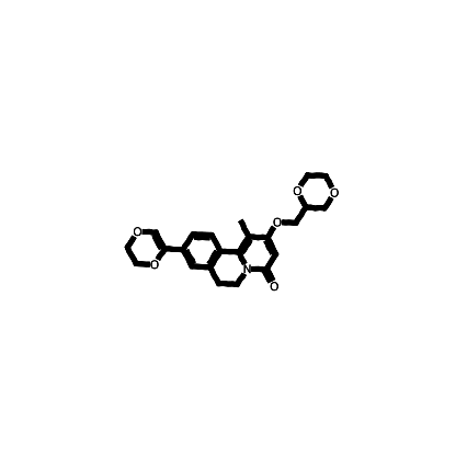 Cc1c(OCC2COCCO2)cc(=O)n2c1-c1ccc(C3=COCCO3)cc1CC2